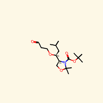 CC(C)C[C@H](OCCC=O)[C@@H]1COC(C)(C)N1C(=O)OC(C)(C)C